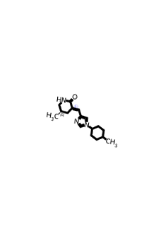 CC1CCC(n2cnc(/C=C3\C[C@H](C)CNC3=O)c2)CC1